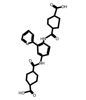 O=C(O)C1CCC(C(=O)Nc2ccc(NC(=O)C3CCC(C(=O)O)CC3)c(-c3ccccn3)c2)CC1